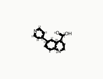 O=C(O)c1ccnc2ccc(-c3ccncc3)cc12